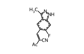 CC(=O)/C(C#N)=C/c1cc2c(C)n[nH]c2cc1F